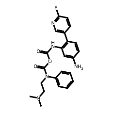 CN(C)CCN(C(=O)OC(=O)Nc1cc(N)ccc1-c1ccc(F)nc1)c1ccccc1